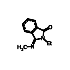 CCN1C(=O)c2ccccc2/C1=N\C